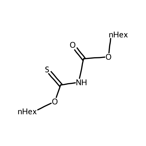 CCCCCCOC(=O)NC(=S)OCCCCCC